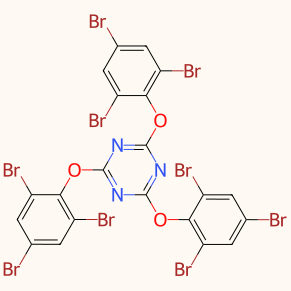 Brc1cc(Br)c(Oc2nc(Oc3c(Br)cc(Br)cc3Br)nc(Oc3c(Br)cc(Br)cc3Br)n2)c(Br)c1